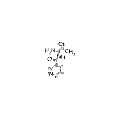 CCC(C)=C(N)NC(=O)c1cccnc1